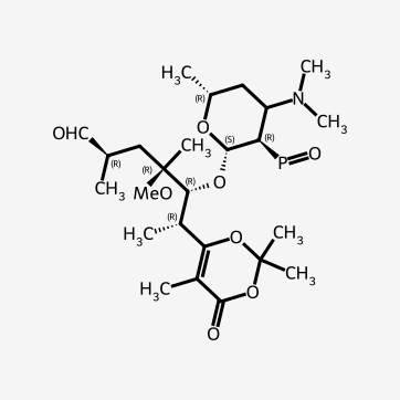 CO[C@](C)(C[C@@H](C)C=O)[C@H](O[C@@H]1O[C@H](C)CC(N(C)C)[C@H]1P=O)[C@@H](C)C1=C(C)C(=O)OC(C)(C)O1